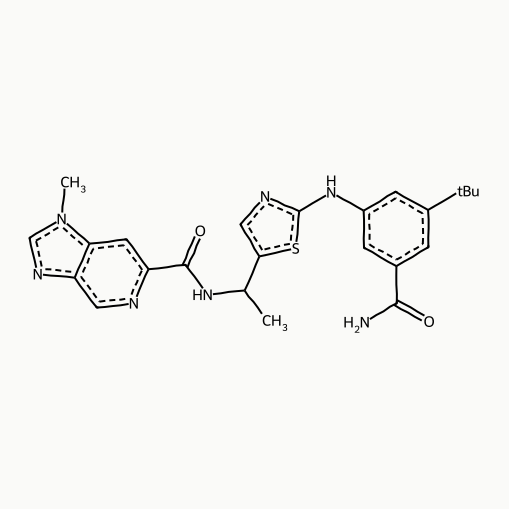 CC(NC(=O)c1cc2c(cn1)ncn2C)c1cnc(Nc2cc(C(N)=O)cc(C(C)(C)C)c2)s1